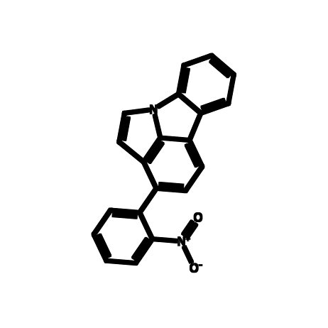 O=[N+]([O-])c1ccccc1-c1ccc2c3ccccc3n3ccc1c23